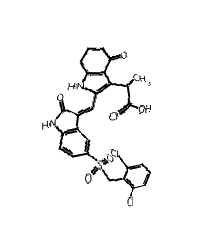 CC(C(=O)O)c1c(/C=C2\C(=O)Nc3ccc(S(=O)(=O)Cc4c(Cl)cccc4Cl)cc32)[nH]c2c1C(=O)CCC2